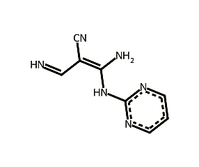 N#C/C(C=N)=C(\N)Nc1ncccn1